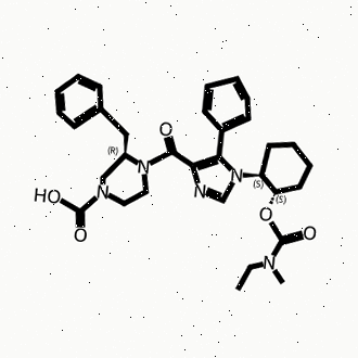 CCN(C)C(=O)O[C@H]1CCCC[C@@H]1n1cnc(C(=O)N2CCN(C(=O)O)C[C@H]2Cc2ccccc2)c1-c1ccccc1